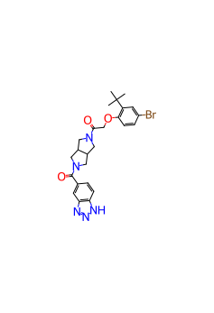 CC(C)(C)c1cc(Br)ccc1OCC(=O)N1CC2CN(C(=O)c3ccc4[nH]nnc4c3)CC2C1